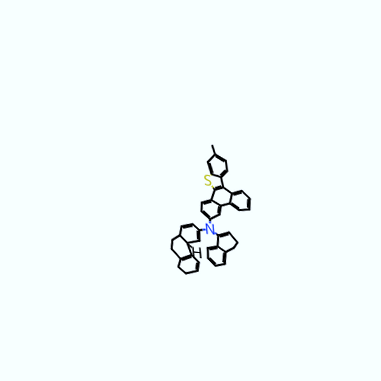 Cc1ccc2c(c1)sc1c3ccc(N(C4=C[C@@H]5C6=C(CCC=C6)CCC5C=C4)C4=CCCc5ccccc54)cc3c3ccccc3c21